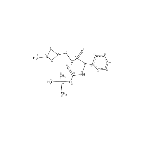 CN1CC(COC(=O)C(NC(=O)OC(C)(C)C)c2ccccc2)C1